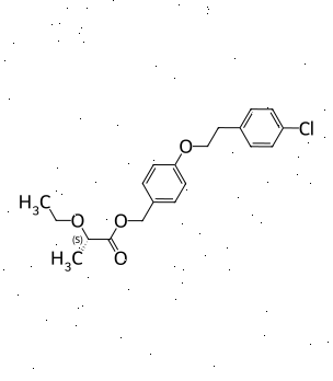 CCO[C@@H](C)C(=O)OCc1ccc(OCCc2ccc(Cl)cc2)cc1